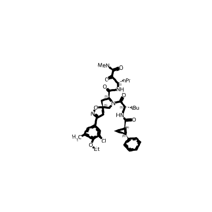 CCC[C@H](NC(=O)[C@@H]1C[C@]2(CC(c3cc(C)c(OCC)c(Cl)c3)=NO2)CN1C(=O)[C@@H](NC(=O)[C@@H]1C[C@H]1c1ccccc1)C(C)(C)C)C(=O)C(=O)NC